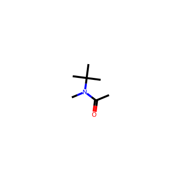 CC(=O)N(C)C(C)(C)C